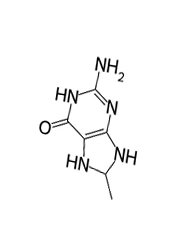 CC1Nc2nc(N)[nH]c(=O)c2N1